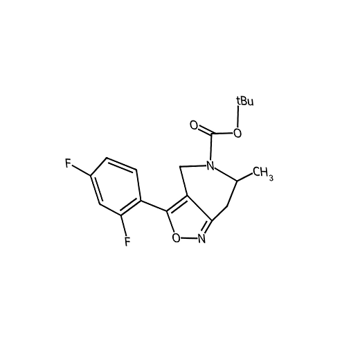 CC1Cc2noc(-c3ccc(F)cc3F)c2CN1C(=O)OC(C)(C)C